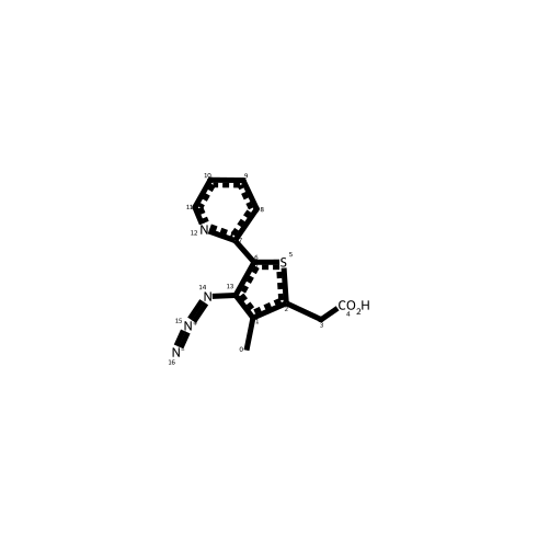 Cc1c(CC(=O)O)sc(-c2ccccn2)c1N=[N+]=[N-]